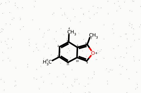 Cc1cc(C)c2c(C)occ2c1